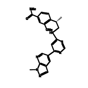 CNC(=O)c1ccc([C@H](C)CNc2cc(-c3cnc4c(cnn4C)c3)ncn2)c(OC)c1